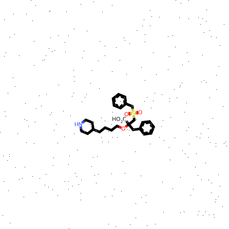 O=C(O)C(Cc1ccccc1)(CS(=O)(=O)Cc1ccccc1)OCCCCC1CCNCC1